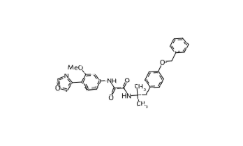 COc1cc(NC(=O)C(=O)NC(C)(C)Cc2ccc(OCc3ccccc3)cc2)ccc1-c1cocn1